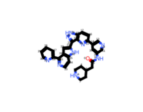 O=C(CC1CCNCC1)Nc1cncc(-c2ccc3[nH]nc(-c4cc5c(-c6ccccn6)nccc5[nH]4)c3n2)c1